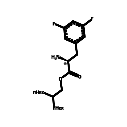 CCCCCCC(CCCCCC)COC(=O)[C@@H](N)Cc1cc(F)cc(F)c1